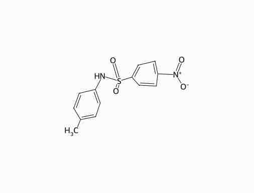 Cc1ccc(NS(=O)(=O)c2ccc([N+](=O)[O-])cc2)cc1